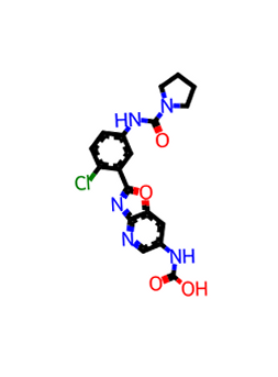 O=C(O)Nc1cnc2nc(-c3cc(NC(=O)N4CCCC4)ccc3Cl)oc2c1